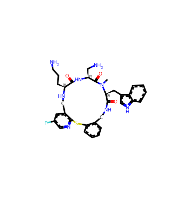 CN1C(=O)[C@H](CN)NC(=O)[C@H](CCCN)NCc2cc(F)cnc2Sc2ccccc2CNC(=O)[C@@H]1Cc1c[nH]c2ccccc12